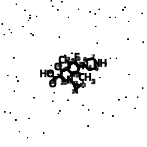 Cc1c(N2CCNCC2)c(F)c(Cl)c2c(=O)c(C(=O)O)cn(C3CC3)c12